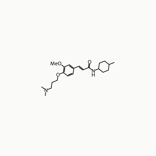 COc1cc(C=CC(=O)NC2CCC(C)CC2)ccc1OCCCN(C)C